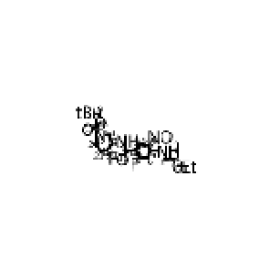 CCOCCNc1cc(F)c(C(=O)N[C@H]2CN(C(=O)OC(C)(C)C)CC[C@@H]2F)cc1[N+](=O)[O-]